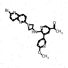 COc1ccc(-c2cc(C(C)=O)cnc2NC2CN(c3ccc4nc(Br)ccc4n3)C2)cn1